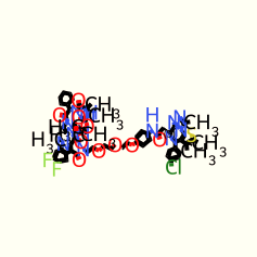 Cc1sc2c(c1C)C(c1ccc(Cl)cc1)=N[C@@H](CC(=O)Nc1ccc(OCCOCCOCCNC(=O)c3c(C(=O)N4CCN(C(=O)C(NC(=O)C(C)N(C)C(=O)OC(C)(C)C)C5CCCCC5)CC4)n(C)c4cc(F)c(F)cc34)cc1)c1nnc(C)n1-2